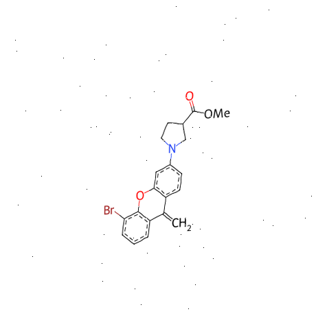 C=C1c2ccc(N3CCC(C(=O)OC)C3)cc2Oc2c(Br)cccc21